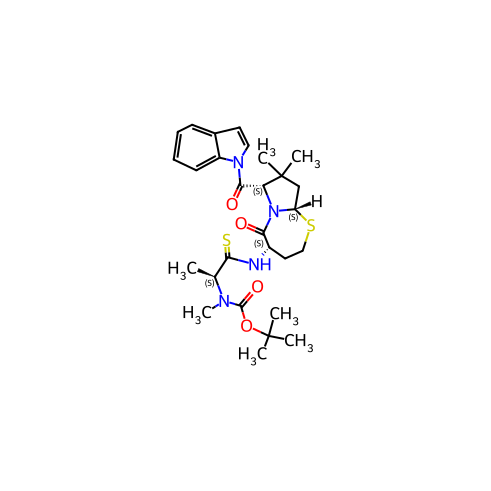 C[C@@H](C(=S)N[C@H]1CCS[C@H]2CC(C)(C)[C@@H](C(=O)n3ccc4ccccc43)N2C1=O)N(C)C(=O)OC(C)(C)C